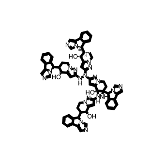 NC1(C2c3ccccc3-c3cncn32)CCn2nc(N(Nc3cc4n(n3)CCC(C3c5ccccc5-c5cncn53)[C@@H]4O)c3cc4n(n3)CC[C@@H]([C@@H]3c5ccccc5-c5cncn53)[C@H]4O)cc2[C@]1(O)Nc1cc2n(n1)CCC(C1c3ccccc3-c3cncn31)C2O